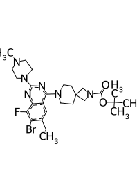 CCc1cc2c(N3CCC4(CC3)CN(C(=O)OC(C)(C)C)C4)nc(N3CCN(C)CC3)nc2c(F)c1Br